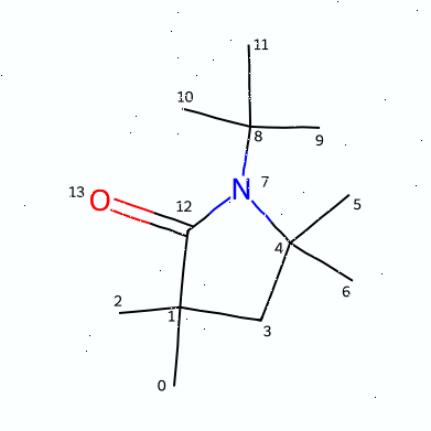 CC1(C)CC(C)(C)N(C(C)(C)C)C1=O